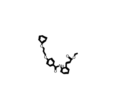 CCOC(=O)C=Cc1ccccc1NC(=O)c1ccc(OCCCOc2ccccc2)cc1